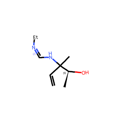 C=CC(C)(N/C=N\CC)[C@H](C)O